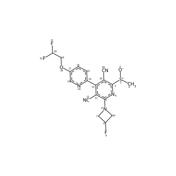 C[S+]([O-])c1nc(N2CC(F)C2)c(C#N)c(-c2ccc(OCC(F)F)cn2)c1C#N